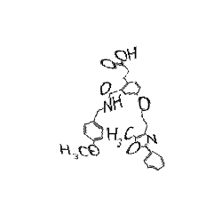 COc1ccc(CNC(=O)c2cc(OCCc3nc(-c4ccccc4)oc3C)ccc2CCC(=O)O)cc1